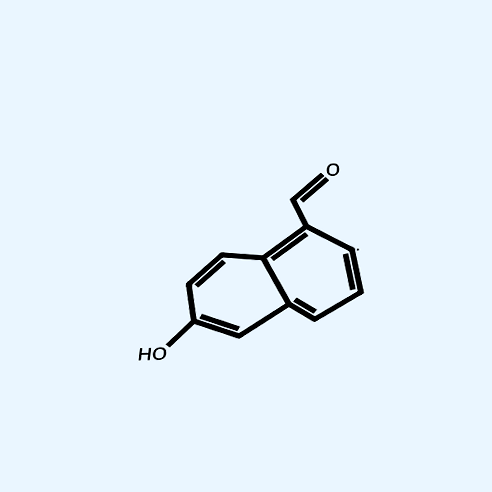 O=Cc1[c]ccc2cc(O)ccc12